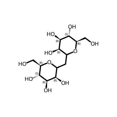 OC[C@H]1O[C](C[C]2O[C@H](CO)[C@@H](O)[C@H](O)[C@@H]2O)[C@@H](O)[C@@H](O)[C@@H]1O